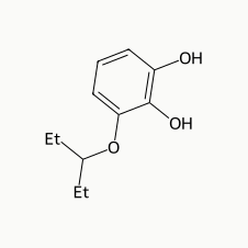 CCC(CC)Oc1cccc(O)c1O